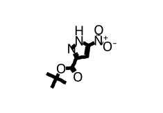 CC(C)(C)OC(=O)c1cc([N+](=O)[O-])[nH]n1